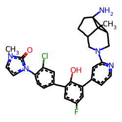 Cn1ccn(-c2ccc(-c3cc(F)cc(-c4ccnc(N5CC6CCC7(N)C(C5)C67C)c4)c3O)cc2Cl)c1=O